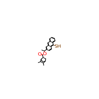 CC(OC(=O)C1CC2CC1C(C)C2C)c1ccc2c(S)c3ccccc3cc2c1